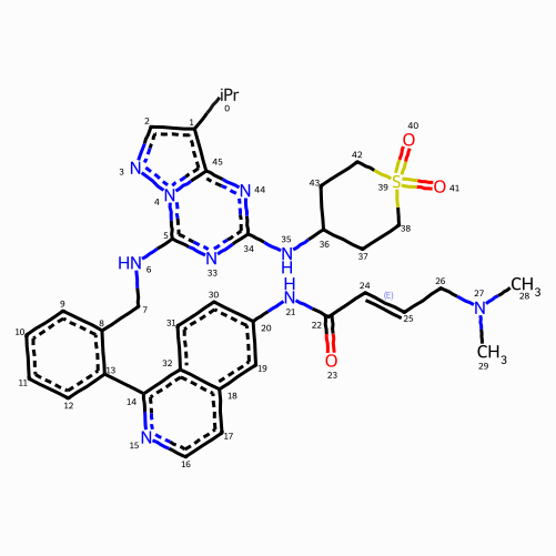 CC(C)c1cnn2c(NCc3ccccc3-c3nccc4cc(NC(=O)/C=C/CN(C)C)ccc34)nc(NC3CCS(=O)(=O)CC3)nc12